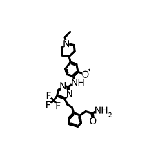 CCN1CCC(c2ccc(Nc3ncc(C(F)(F)F)c(CCc4ccccc4CC(N)=O)n3)c(OC)c2)CC1